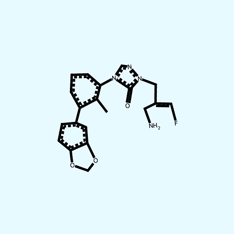 Cc1c(-c2ccc3c(c2)OCO3)cccc1-n1cnn(C/C(=C/F)CN)c1=O